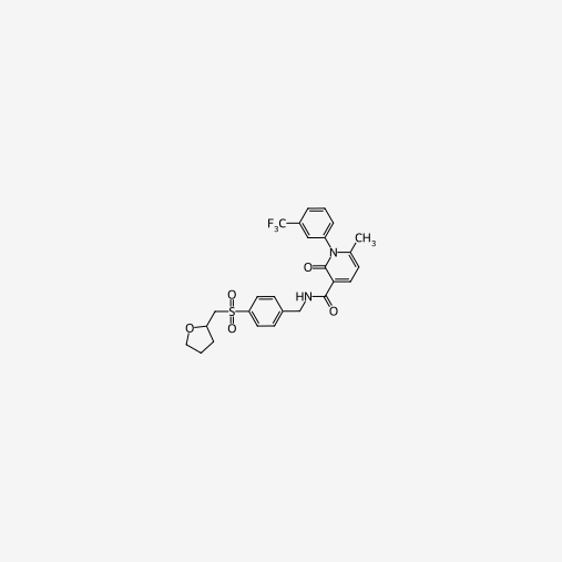 Cc1ccc(C(=O)NCc2ccc(S(=O)(=O)CC3CCCO3)cc2)c(=O)n1-c1cccc(C(F)(F)F)c1